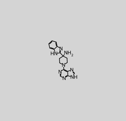 NC1(c2nc3ccccc3[nH]2)CCN(c2ncnc3[nH]cnc23)CC1